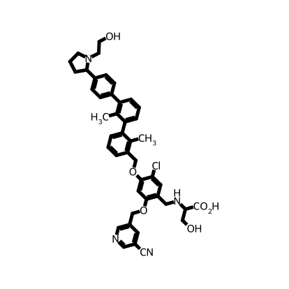 Cc1c(COc2cc(OCc3cncc(C#N)c3)c(CNC(CO)C(=O)O)cc2Cl)cccc1-c1cccc(-c2ccc(C3CCCN3CCO)cc2)c1C